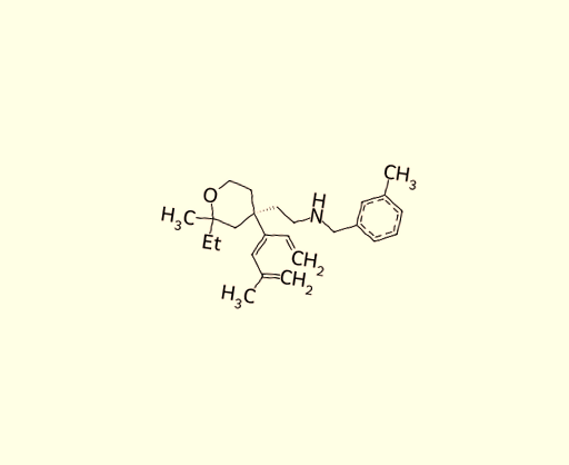 C=C/C(=C\C(=C)C)[C@]1(CCNCc2cccc(C)c2)CCOC(C)(CC)C1